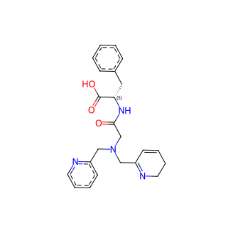 O=C(CN(CC1=NCCC=C1)Cc1ccccn1)N[C@@H](Cc1ccccc1)C(=O)O